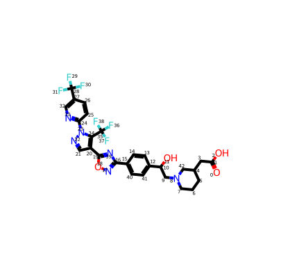 O=C(O)CC1CCCN(CC(O)c2ccc(-c3noc(-c4cnn(-c5ccc(C(F)(F)F)cn5)c4C(F)(F)F)n3)cc2)C1